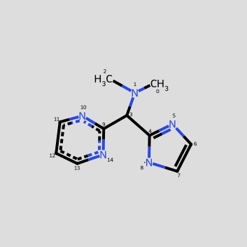 CN(C)C(C1=NC=C[N]1)c1ncccn1